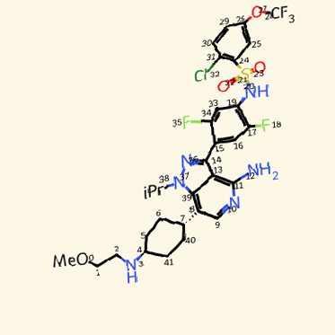 COCCN[C@H]1CC[C@H](c2cnc(N)c3c(-c4cc(F)c(NS(=O)(=O)c5cc(OC(F)(F)F)ccc5Cl)cc4F)nn(C(C)C)c32)CC1